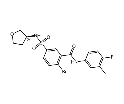 Cc1cc(NC(=O)c2cc(S(=O)(=O)N[C@H]3CCOC3)ccc2Br)ccc1F